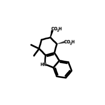 CC1(C)C[C@@H](C(=O)O)[C@H](C(=O)O)c2c1[nH]c1ccccc21